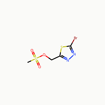 CS(=O)(=O)OCc1nnc(Br)s1